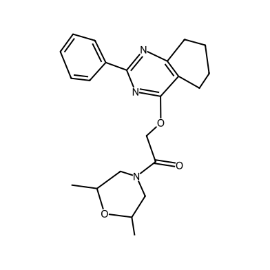 CC1CN(C(=O)COc2nc(-c3ccccc3)nc3c2CCCC3)CC(C)O1